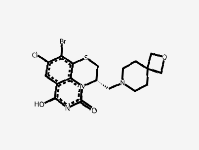 O=c1nc(O)c2cc(Cl)c(Br)c3c2n1[C@@H](CN1CCC2(CC1)COC2)CS3